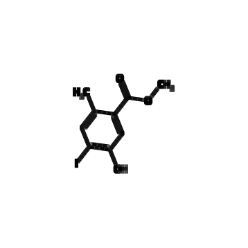 COC(=O)c1cc(O)c(I)cc1C